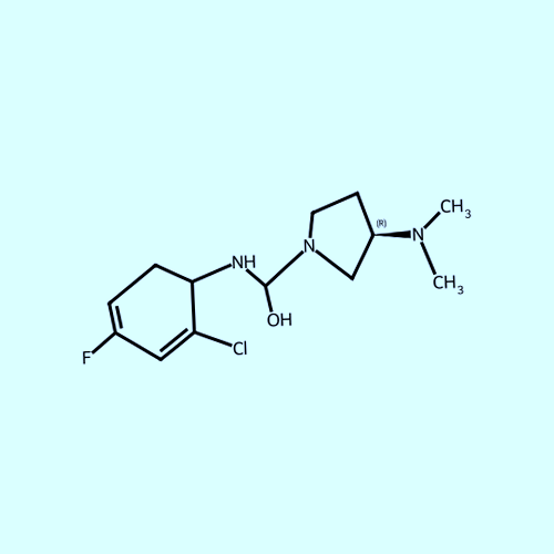 CN(C)[C@@H]1CCN(C(O)NC2CC=C(F)C=C2Cl)C1